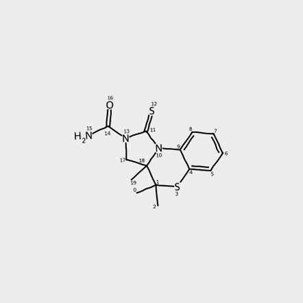 CC1(C)Sc2ccccc2N2C(=S)N(C(N)=O)CC21C